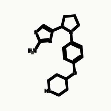 Nc1nc(C2CCCN2c2ccc(OC3CCNCC3)cc2)cs1